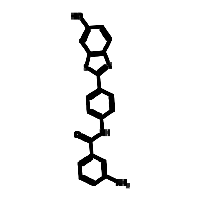 Nc1cccc(C(=O)Nc2ccc(-c3nc4ccc(O)cc4s3)cc2)c1